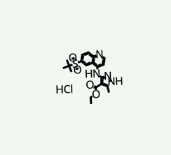 CCOC(=O)c1c(Nc2ccnc3ccc(S(=O)(=O)C(C)(C)C)cc23)n[nH]c1C.Cl